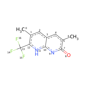 Cc1cc2cc(C)c(=O)nc-2[nH]c1C(F)(F)F